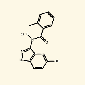 Cc1ccccc1C(=O)N(C=O)c1n[nH]c2ccc(O)cc12